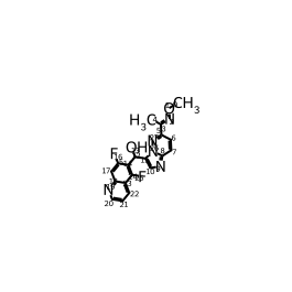 CO/N=C(\C)c1ccc2ncc(C(O)c3c(F)cc4ncccc4c3F)n2n1